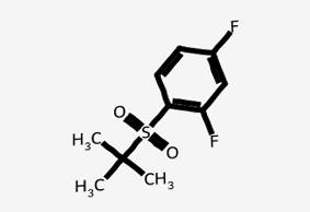 CC(C)(C)S(=O)(=O)c1ccc(F)cc1F